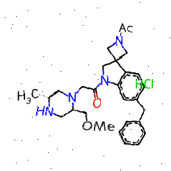 COC[C@H]1CN[C@H](C)CN1CC(=O)N1CC2(CN(C(C)=O)C2)c2ccc(Cc3ccccc3)cc21.Cl